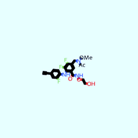 C#Cc1ccc(Nc2c(C(=O)NOCCO)cc(CN(OC)C(C)=O)c(F)c2F)c(F)c1